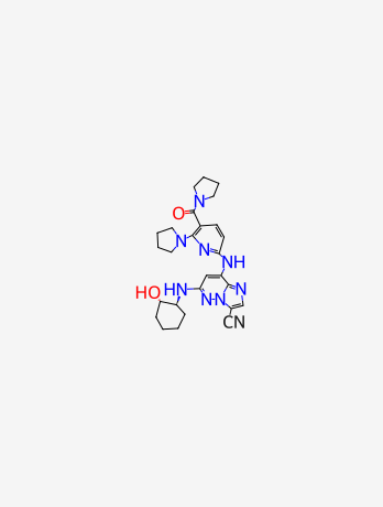 N#Cc1cnc2c(Nc3ccc(C(=O)N4CCCC4)c(N4CCCC4)n3)cc(N[C@H]3CCCC[C@@H]3O)nn12